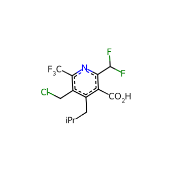 CC(C)Cc1c(CCl)c(C(F)(F)F)nc(C(F)F)c1C(=O)O